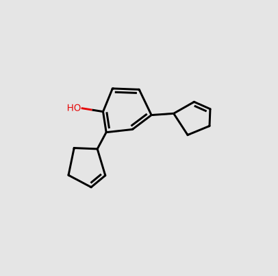 Oc1ccc(C2C=CCC2)cc1C1C=CCC1